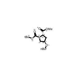 CCCCO[C@@H]1C[C@@H](C(=O)OC)N(C(=O)OC(C)(C)C)C1